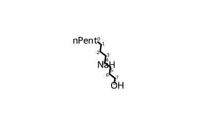 CCCCCCCCCCCCO.[NaH]